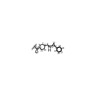 CN(C)C(=O)N1CCC(CNC2CC2c2ccccc2)CC1